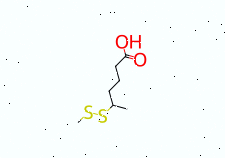 CSSC(C)CCCC(=O)O